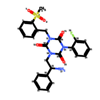 CS(=O)(=O)c1ccccc1Cn1c(=O)n(CC(N)c2ccccc2)c(=O)n(-c2ccccc2F)c1=O